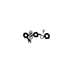 N#Cc1ccccc1S(=O)(=O)c1ccc(COc2ccccc2F)cc1